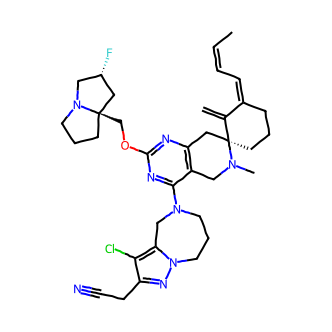 C=C1/C(=C\C=C/C)CCC[C@]12Cc1nc(OC[C@@]34CCCN3C[C@H](F)C4)nc(N3CCCn4nc(CC#N)c(Cl)c4C3)c1CN2C